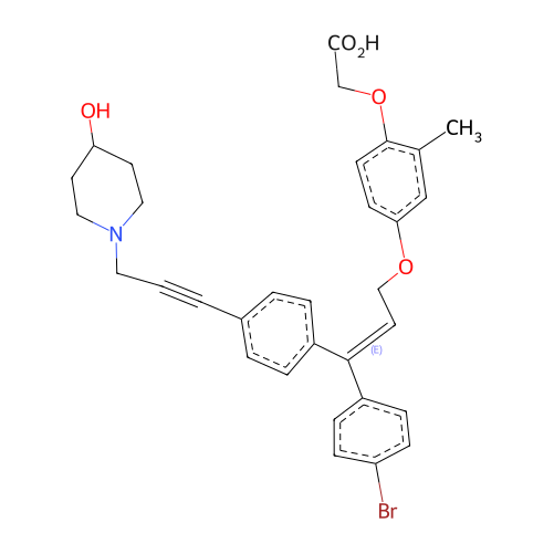 Cc1cc(OC/C=C(/c2ccc(Br)cc2)c2ccc(C#CCN3CCC(O)CC3)cc2)ccc1OCC(=O)O